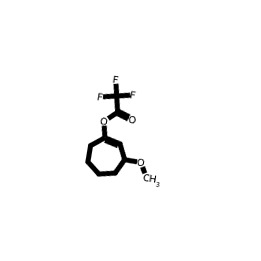 COC1C=C(OC(=O)C(F)(F)F)CCCC1